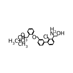 CC(C)(C)OC(=O)Cc1ccccc1OCc1cccc(-c2cccc([C@H](N)CO)c2Cl)c1